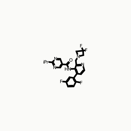 CC(C)c1ncc(C(=O)Nc2c(-c3cc(F)ccc3F)ccnc2CN2CC(F)(F)C2)cn1